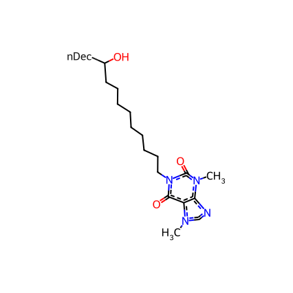 CCCCCCCCCCC(O)CCCCCCCCCn1c(=O)c2c(ncn2C)n(C)c1=O